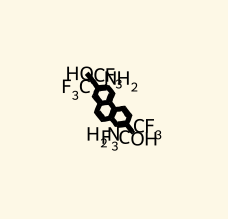 Nc1cc2c(ccc3c(N)c(C(O)(C(F)(F)F)C(F)(F)F)ccc32)cc1C(O)(C(F)(F)F)C(F)(F)F